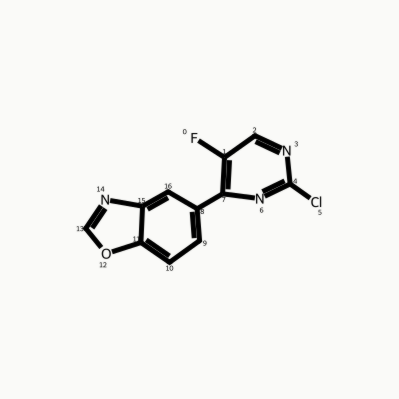 Fc1cnc(Cl)nc1-c1ccc2ocnc2c1